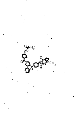 Cn1ccc2c(=O)n(CC3(O)CCN(C(=O)[C@@H]4CCN(C(=O)c5ccc(COC(N)=O)cc5)C[C@H]4c4ccccc4)CC3)cnc21